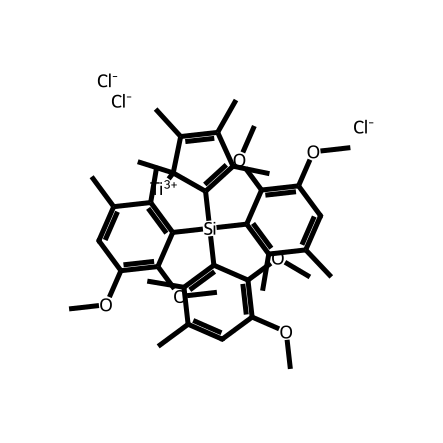 COc1cc(C)c(C)c([Si](C2=C(C)C(C)=C(C)[C]2(C)[Ti+3])(c2c(C)c(C)cc(OC)c2OC)c2c(C)c(C)cc(OC)c2OC)c1OC.[Cl-].[Cl-].[Cl-]